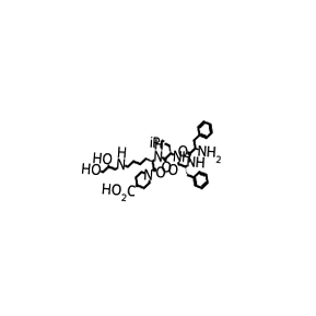 CC(C)C[C@@H](NC(=O)[C@@H](Cc1ccccc1)NC(=O)[C@H](N)Cc1ccccc1)C(=O)N[C@H](CCCCNC[C@H](O)CO)C(=O)N1CCC(C(=O)O)CC1